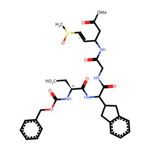 COC(=O)CC(/C=C/[S+](C)[O-])NC(=O)CNC(=O)C(NC(=O)[C@H](CC(=O)O)NC(=O)OCc1ccccc1)C1Cc2ccccc2C1